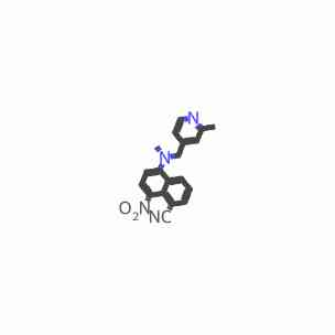 Cc1cc(CN(C)c2ccc([N+](=O)[O-])c3c(C#N)cccc23)ccn1